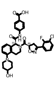 O=C(O)c1ccc(NC(=O)[C@@H]2c3cccc(N4CCC(O)CC4)c3CCN2C(=O)[C@H]2CC(c3cccc(Cl)c3F)=NO2)cc1